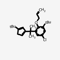 C=CCOc1c(C(C)(C)C)cc(Cl)cc1C(C)(C)C1=CCC(C(C)(C)C)=C1